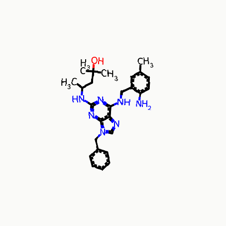 Cc1ccc(N)c(CNc2nc(NC(C)CC(C)(C)O)nc3c2ncn3Cc2ccccc2)c1